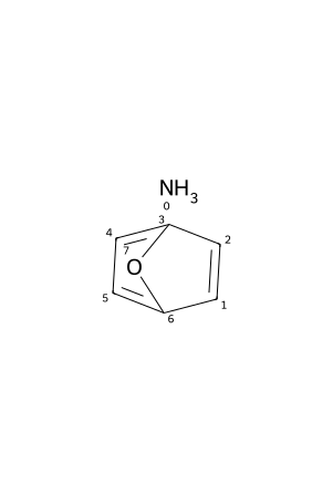 N.c1cc2ccc1o2